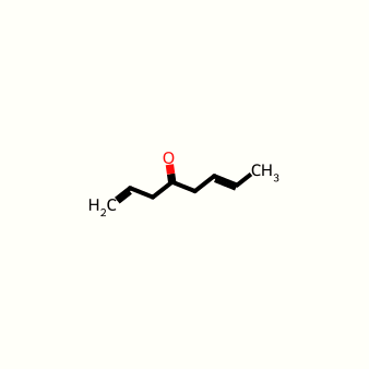 C=CCC(=O)CC=CC